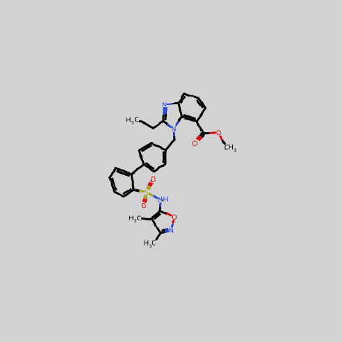 CCc1nc2cccc(C(=O)OC)c2n1Cc1ccc(-c2ccccc2S(=O)(=O)Nc2onc(C)c2C)cc1